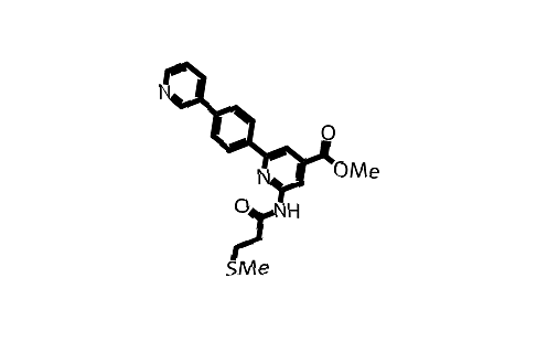 COC(=O)c1cc(NC(=O)CCSC)nc(-c2ccc(-c3cccnc3)cc2)c1